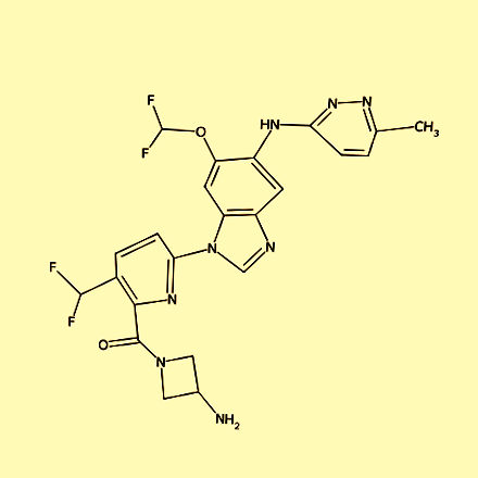 Cc1ccc(Nc2cc3ncn(-c4ccc(C(F)F)c(C(=O)N5CC(N)C5)n4)c3cc2OC(F)F)nn1